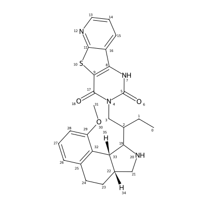 CCC(Cn1c(=O)[nH]c2c(sc3ncccc32)c1=O)C1NC[C@@H]2CCc3cccc(OC)c3[C@H]12